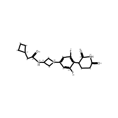 O=C1CCC(c2c(F)cc(N3CC(NC(=O)CC4CCC4)C3)cc2F)C(=O)N1